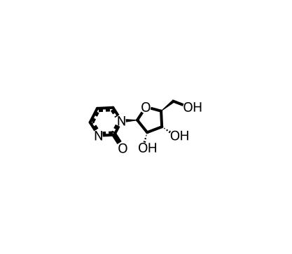 O=c1ncccn1[C@H]1O[C@@H](CO)[C@H](O)[C@@H]1O